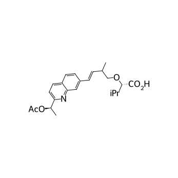 CC(=O)O[C@H](C)c1ccc2ccc(/C=C/C(C)CO[C@H](C(=O)O)C(C)C)cc2n1